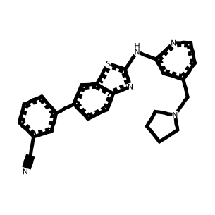 N#Cc1cccc(-c2ccc3nc(Nc4cc(CN5CCCC5)ccn4)sc3c2)c1